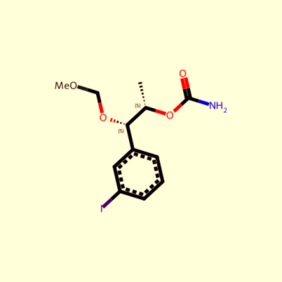 COCO[C@@H](c1cccc(I)c1)[C@H](C)OC(N)=O